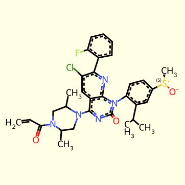 C=CC(=O)N1CC(C)N(c2nc(=O)n(-c3ccc([S@@+](C)[O-])cc3C(C)C)c3nc(-c4ccccc4F)c(Cl)cc23)CC1C